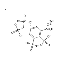 O=P([O-])([O-])CP(=O)([O-])[O-].O=P([O-])([O-])c1cccc(S(=O)(=O)O)c1P(=O)([O-])[O-].[Zr+4].[Zr+4]